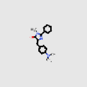 CN1C(=O)C(=Cc2ccc(N(C)C)cc2)N=C1c1ccccc1